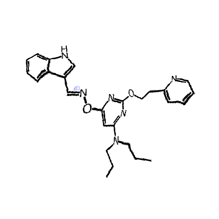 CCCN(CCC)c1cc(O/N=C/c2c[nH]c3ccccc23)nc(OCCc2ccccn2)n1